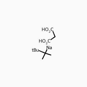 CC(C)(C)[C](C)(C)[Na].O=C(O)CC(=O)O